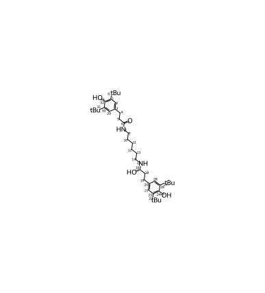 CC(C)(C)c1cc(CCC(=O)NCCCCCCNC(O)CCc2cc(C(C)(C)C)c(O)c(C(C)(C)C)c2)cc(C(C)(C)C)c1O